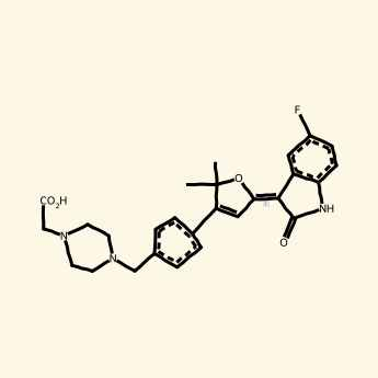 CC1(C)O/C(=C2/C(=O)Nc3ccc(F)cc32)C=C1c1ccc(CN2CCN(CC(=O)O)CC2)cc1